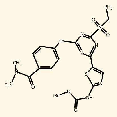 CN(C)C(=O)c1ccc(Oc2nc(-c3cnc(NC(=O)OC(C)(C)C)s3)nc(S(=O)(=O)CP)n2)cc1